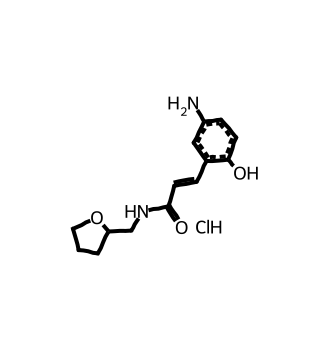 Cl.Nc1ccc(O)c(/C=C/C(=O)NCC2CCCO2)c1